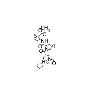 COC(=O)c1sccc1NC(=O)C1CC2(CC2)CN1C(=O)[C@H](CCC1CCCC1)CN(O)C=O